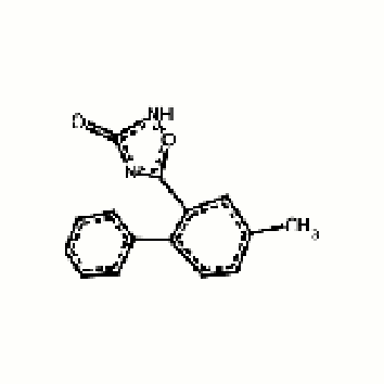 Cc1ccc(-c2ccccc2)c(-c2nc(=O)[nH]o2)c1